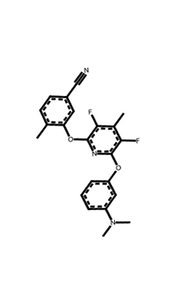 Cc1ccc(C#N)cc1Oc1nc(Oc2cccc(N(C)C)c2)c(F)c(C)c1F